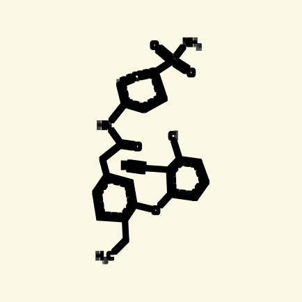 CCc1ccc(CC(=O)Nc2ccc(S(N)(=O)=O)cc2)cc1Oc1cccc(Cl)c1C#N